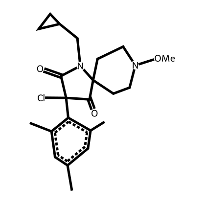 CON1CCC2(CC1)C(=O)C(Cl)(c1c(C)cc(C)cc1C)C(=O)N2CC1CC1